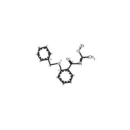 CCO/C(C)=N\C(=O)c1ccccc1OCc1ccccc1